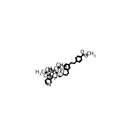 COC(=O)c1ccc(CCc2ccc3c(c2)CC[C@@H](CN(C[C@H](O[Si](C)(C)C(C)(C)C)c2cccnc2)C(=O)OC(C)(C)C)O3)cc1